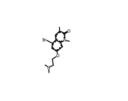 Cc1cc2c(Br)cc(OCCN(C)C)cc2n(C)c1=O